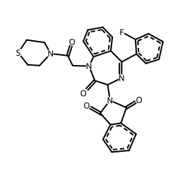 O=C(CN1C(=O)C(N2C(=O)c3ccccc3C2=O)N=C(c2ccccc2F)c2ccccc21)N1CCSCC1